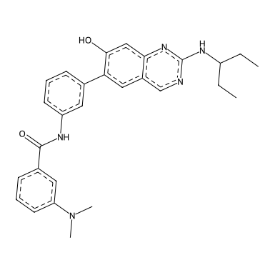 CCC(CC)Nc1ncc2cc(-c3cccc(NC(=O)c4cccc(N(C)C)c4)c3)c(O)cc2n1